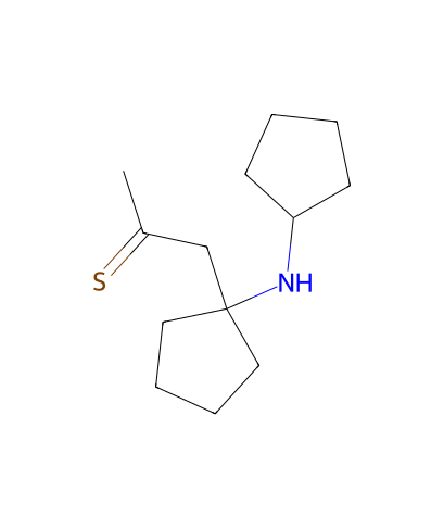 CC(=S)CC1(NC2CCCC2)CCCC1